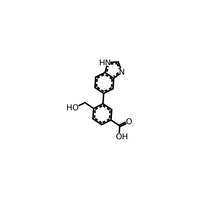 O=C(O)c1ccc(CO)c(-c2ccc3[nH]cnc3c2)c1